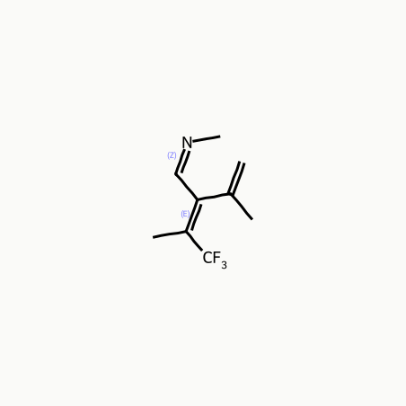 C=C(C)C(/C=N\C)=C(/C)C(F)(F)F